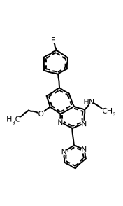 CCOc1cc(-c2ccc(F)cc2)cc2c(NC)nc(-c3ncccn3)nc12